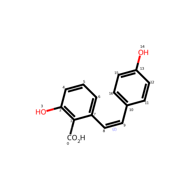 O=C(O)c1c(O)cccc1/C=C\c1ccc(O)cc1